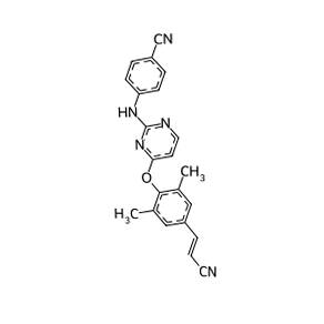 Cc1cc(C=CC#N)cc(C)c1Oc1ccnc(Nc2ccc(C#N)cc2)n1